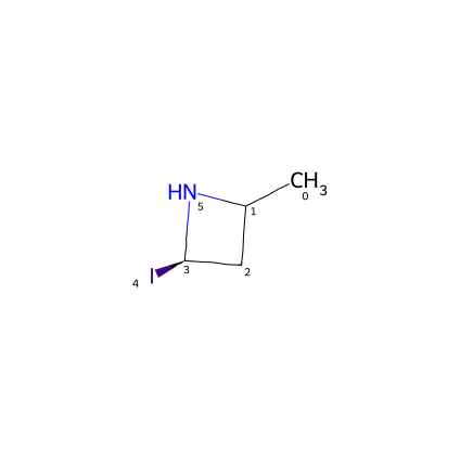 CC1C[C@@H](I)N1